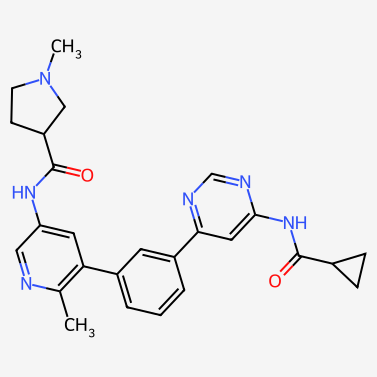 Cc1ncc(NC(=O)C2CCN(C)C2)cc1-c1cccc(-c2cc(NC(=O)C3CC3)ncn2)c1